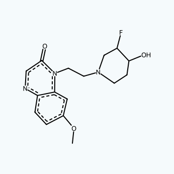 COc1ccc2ncc(=O)n(CCN3CCC(O)C(F)C3)c2c1